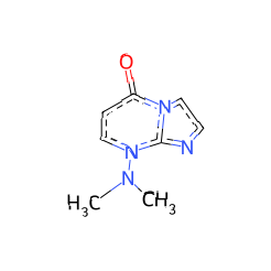 CN(C)n1ccc(=O)n2ccnc12